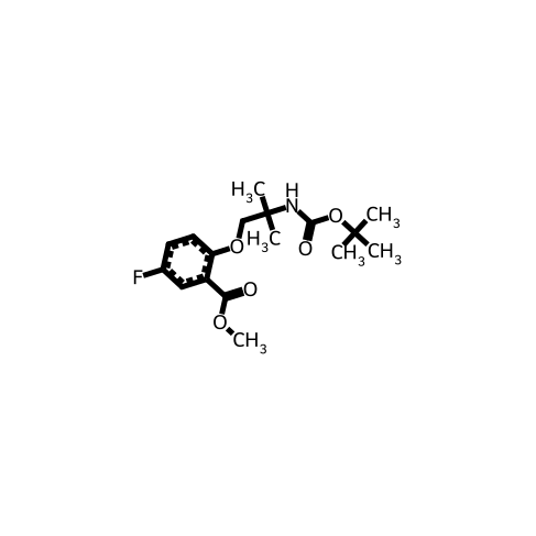 COC(=O)c1cc(F)ccc1OCC(C)(C)NC(=O)OC(C)(C)C